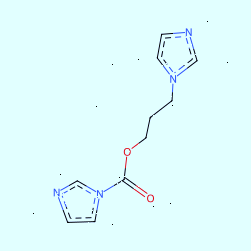 O=C(OCCCn1ccnc1)n1ccnc1